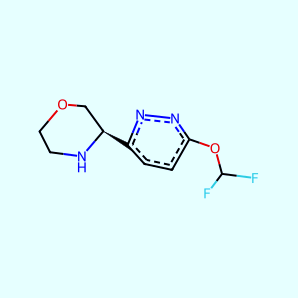 FC(F)Oc1ccc([C@@H]2COCCN2)nn1